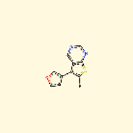 CCc1sc2ncn[c]c2c1-c1ccoc1